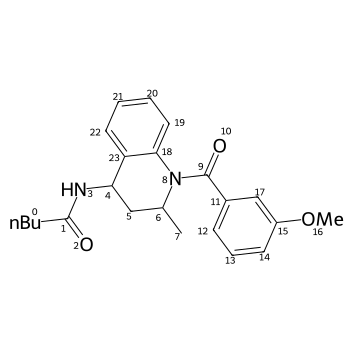 CCCCC(=O)NC1CC(C)N(C(=O)c2cccc(OC)c2)c2ccccc21